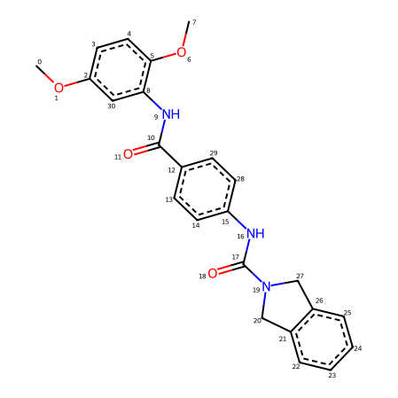 COc1ccc(OC)c(NC(=O)c2ccc(NC(=O)N3Cc4ccccc4C3)cc2)c1